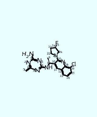 Cc1nc(N)nc(N[C@@H](C)c2cc3cccc(Cl)c3nc2N2CC[C@@H](F)C2)n1